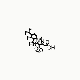 Cc1nc(CC(=O)O)c(C2OCCO2)c(N[C@H](C)c2cccc(C(F)F)c2F)n1